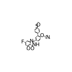 COSc1ccc(-c2cc(-c3nc4cc(F)cc(OC)c4c(=O)[nH]3)ccc2OC2CN(C)C2)cc1